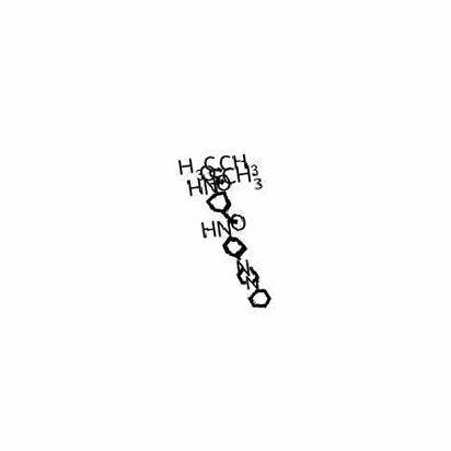 CC(C)(C)S(=O)(=O)NC1CCC(C(=O)Nc2ccc(N3CCN(C4CCCCC4)CC3)cc2)CC1